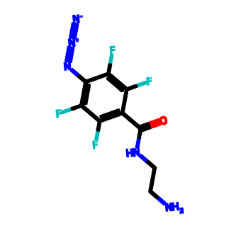 [N-]=[N+]=Nc1c(F)c(F)c(C(=O)NCCN)c(F)c1F